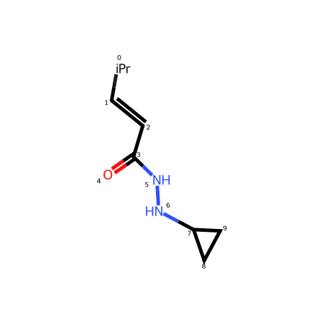 CC(C)C=CC(=O)NNC1CC1